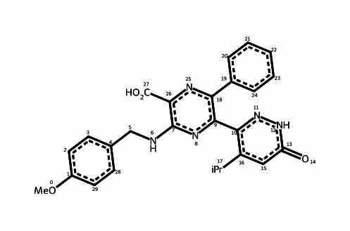 COc1ccc(CNc2nc(-c3n[nH]c(=O)cc3C(C)C)c(-c3ccccc3)nc2C(=O)O)cc1